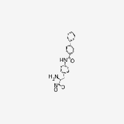 N[C@@H](Cc1ccc(NC(=O)c2ccc(-c3ccccc3)cc2)cc1)C(=O)N=O